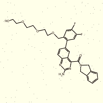 Nc1nc(C(=O)N2Cc3ccccc3C2)c2cc(-c3cc(F)c(F)cc3COCCOCCOCCO)ccc2n1